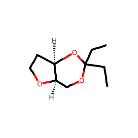 CCC1(CC)OC[C@H]2OCC[C@H]2O1